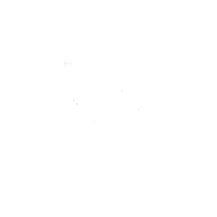 CCCC(C)C(OC1CCCCO1)C(C)CC(C)C(=O)N1CCCC1CO